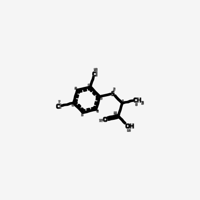 CC(Sc1ccc(Cl)cc1Cl)C(=O)O